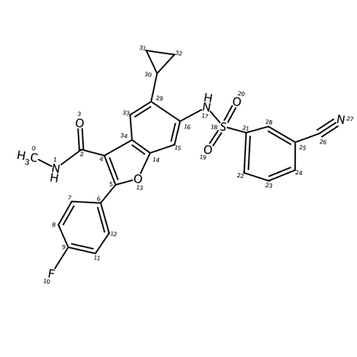 CNC(=O)c1c(-c2ccc(F)cc2)oc2cc(NS(=O)(=O)c3cccc(C#N)c3)c(C3CC3)cc12